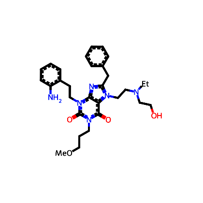 CCN(CCO)CCn1c(Cc2ccccc2)nc2c1c(=O)n(CCCOC)c(=O)n2CCc1ccccc1N